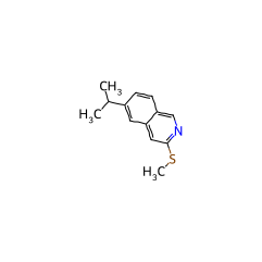 CSc1cc2cc(C(C)C)ccc2cn1